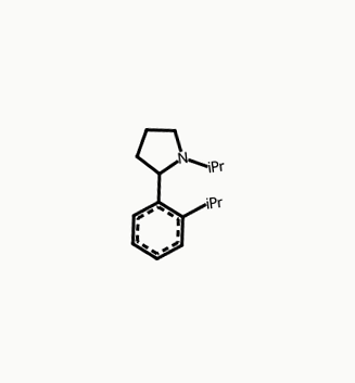 CC(C)c1ccccc1C1CCCN1C(C)C